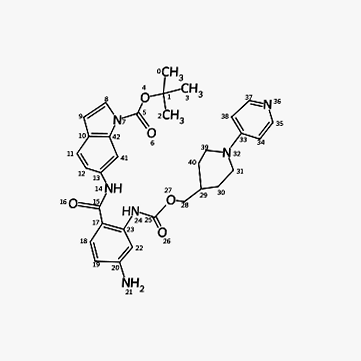 CC(C)(C)OC(=O)n1ccc2ccc(NC(=O)c3ccc(N)cc3NC(=O)OCC3CCN(c4ccncc4)CC3)cc21